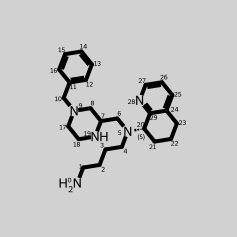 NCCCCN(CC1CN(Cc2ccccc2)CCN1)[C@H]1CCCc2cccnc21